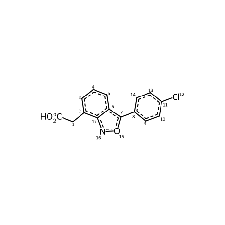 O=C(O)Cc1cccc2c(-c3ccc(Cl)cc3)onc12